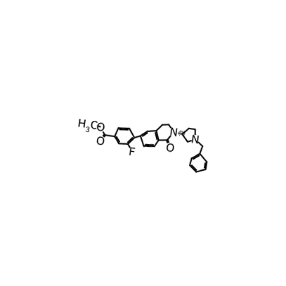 COC(=O)c1ccc(-c2ccc3c(c2)CCN([C@@H]2CCN(Cc4ccccc4)C2)C3=O)c(F)c1